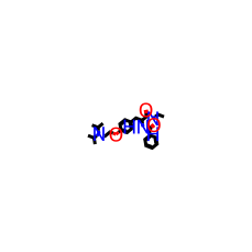 CCNC(=O)C(Cc1ccc(OCCN(C(C)C)C(C)C)cc1)NC(=O)c1ccccc1